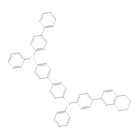 c1ccc(-c2ccc(N(c3ccccc3)c3ccc(-c4ccc(N(c5ccccc5)c5ccc(-c6ccc7c(c6)CCCC7)cc5)cc4)cc3)cc2)cc1